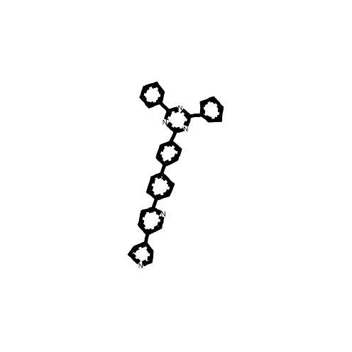 c1ccc(-c2nc(-c3ccccc3)nc(-c3ccc(-c4ccc(-c5ccc(-c6ccncc6)cn5)cc4)cc3)n2)cc1